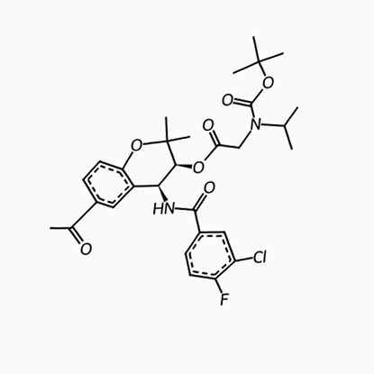 CC(=O)c1ccc2c(c1)[C@H](NC(=O)c1ccc(F)c(Cl)c1)[C@H](OC(=O)CN(C(=O)OC(C)(C)C)C(C)C)C(C)(C)O2